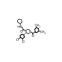 Cc1cc(C)cc(C(=O)N2CCN(C(=O)CNC3CCCCC3)[C@H](c3ccc(Cl)c(Cl)c3)C2)c1